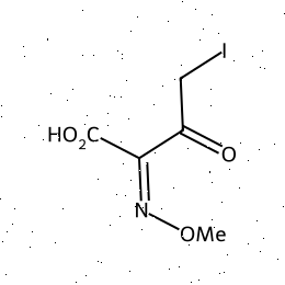 CON=C(C(=O)O)C(=O)CI